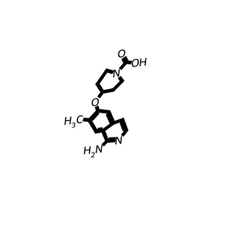 Cc1cc2c(N)nccc2cc1OC1CCN(C(=O)O)CC1